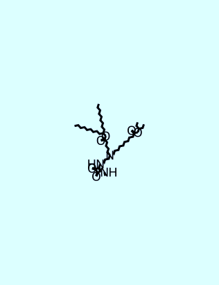 CCCCCCCCCC(CCCCCCCCC)OC(=O)CCCCN(CCCCCCCCCC(=O)OC(CC)CC)CCCNc1c(NC)c(=O)c1=O